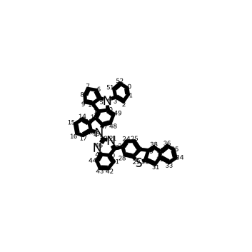 c1ccc(-n2c3ccccc3c3c4c5ccccc5n(-c5nc(-c6ccc7c(c6)sc6cc8ccccc8cc67)c6ccccc6n5)c4ccc32)cc1